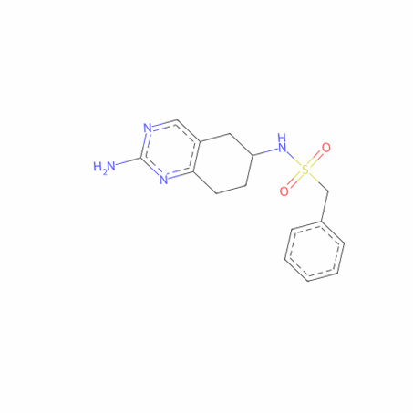 Nc1ncc2c(n1)CCC(NS(=O)(=O)Cc1ccccc1)C2